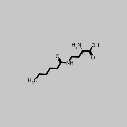 CCCCCC(=O)NCC[C@H](N)C(=O)O